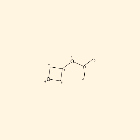 CC(C)OC1[CH]OC1